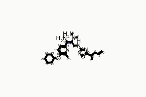 C=CCC(C)c1nc(NC/C(=C(/N)c2ccc(OC3CCCCC3)c(C)n2)N(C)N)no1